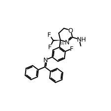 CNC1=N[C@@](c2cc(N=C(c3ccccc3)c3ccccc3)ccc2F)(C(F)F)CCO1